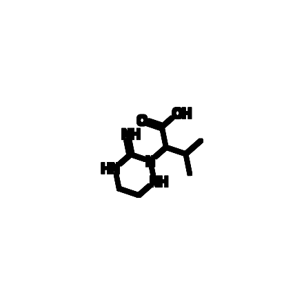 CC(C)C(C(=O)O)N1NCCNC1=N